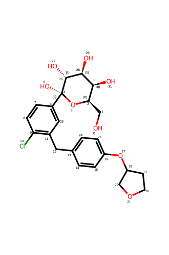 OC[C@H]1O[C@@](O)(c2ccc(Cl)c(Cc3ccc(OC4CCOC4)cc3)c2)[C@H](O)[C@@H](O)[C@H]1O